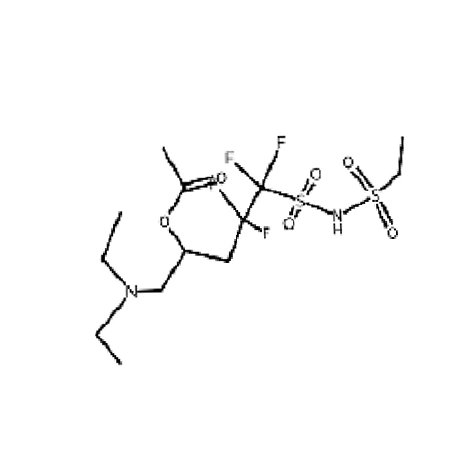 CCN(CC)CC(CC(F)(F)C(F)(F)S(=O)(=O)NS(=O)(=O)CC)OC(C)=O